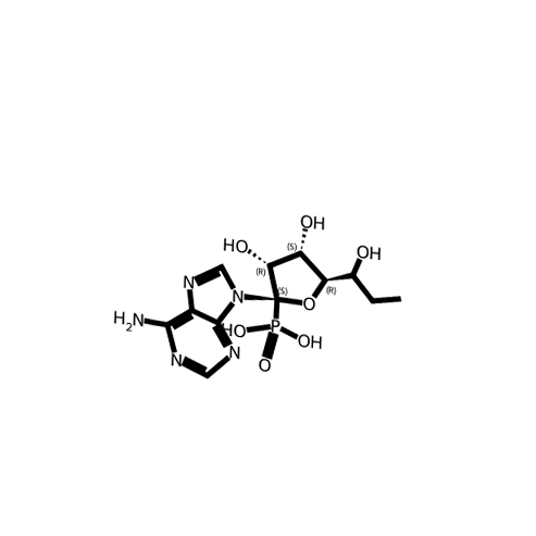 CCC(O)[C@H]1O[C@](n2cnc3c(N)ncnc32)(P(=O)(O)O)[C@H](O)[C@@H]1O